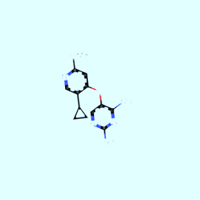 COc1cc(Oc2cnc(N)nc2N)c(C2CC2)cn1